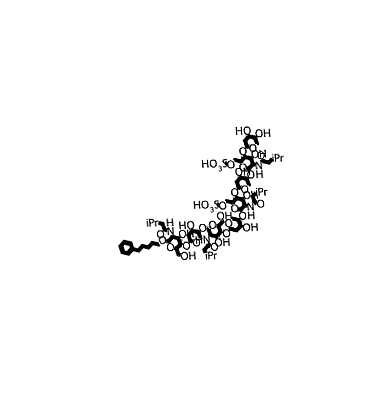 CC(C)CC(=O)NC1[C@H](OCCCCCc2ccccc2)OC(CO)[C@@H](O[C@H]2C[C@H](O)[C@H](O[C@@H]3OC(CO)[C@@H](O[C@H]4C[C@H](O)[C@H](O[C@@H]5OC(COS(=O)(=O)O)[C@@H](O[C@H]6C[C@H](O)[C@H](O[C@@H]7OC(COS(=O)(=O)O)[C@@H](O[C@H]8C[C@H](O)[C@H](O)CO8)[C@H](O)C7NC(=O)CC(C)C)CO6)[C@H](O)C5NC(=O)CC(C)C)CO4)[C@H](O)C3NC(=O)CC(C)C)CO2)[C@@H]1O